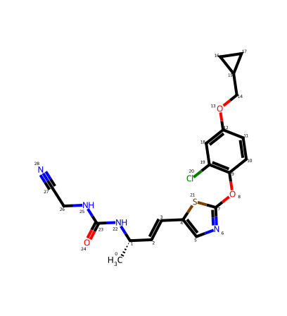 C[C@@H](/C=C/c1cnc(Oc2ccc(OCC3CC3)cc2Cl)s1)NC(=O)NCC#N